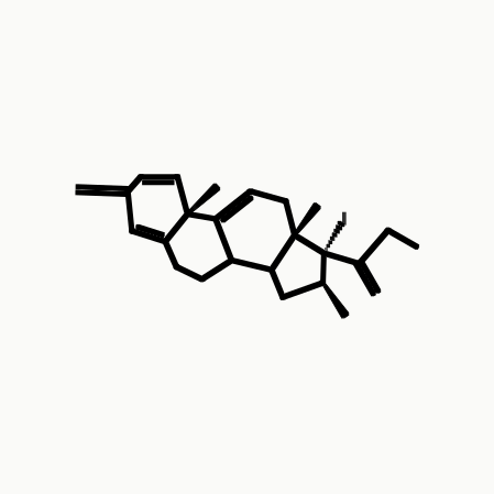 C=C1C=C[C@@]2(C)C(=C1)CCC1C2=CC[C@@]2(C)C1C[C@H](C)[C@]2(I)C(=C)CC